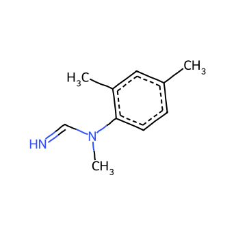 Cc1ccc(N(C)C=N)c(C)c1